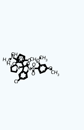 COc1ccc(S(=O)(=O)N2C(=O)C(c3c(C)cccc3OC)(N3CCC[C@H]3C(=O)N(C)C)c3cc(Cl)ccc32)c(OC)c1